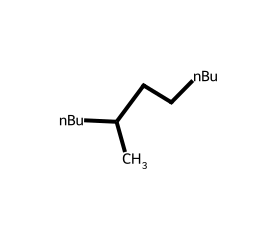 C[CH]CCC(C)CCCCCC